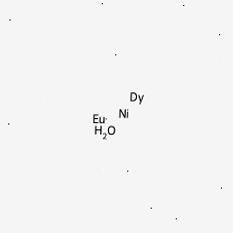 O.[Dy].[Eu].[Ni]